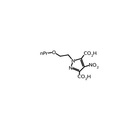 CCCOCCn1nc(C(=O)O)c([N+](=O)[O-])c1C(=O)O